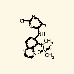 CN(c1c(Nc2nc(Cl)ncc2Cl)ccc2nccnc12)S(C)(=O)=O